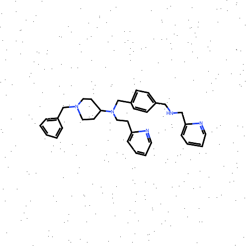 c1ccc(CN2CCC(N(CCc3ccccn3)Cc3ccc(CNCc4ccccn4)cc3)CC2)cc1